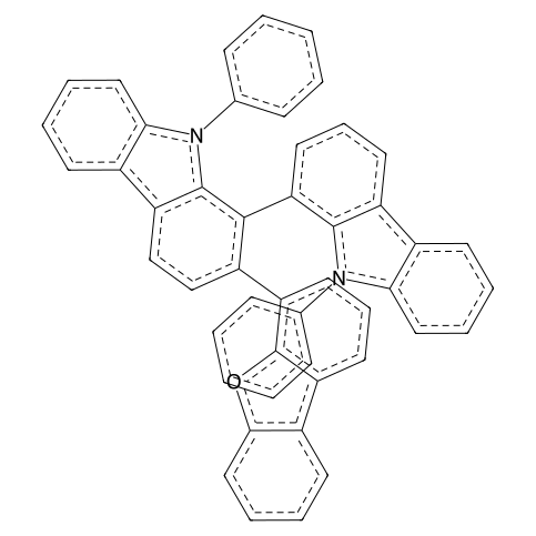 c1ccc(-n2c3ccccc3c3cccc(-c4c(-c5cccc6c5oc5ccccc56)ccc5c6ccccc6n(-c6ccccc6)c45)c32)cc1